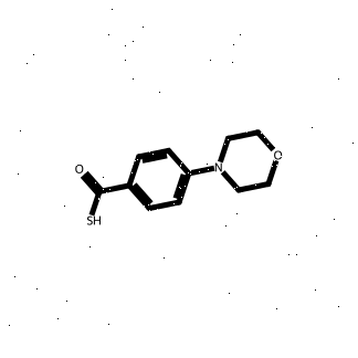 O=C(S)c1ccc(N2CCOCC2)cc1